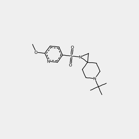 COc1ccc(S(=O)(=O)N2CC23CCN(C(C)(C)C)CC3)cn1